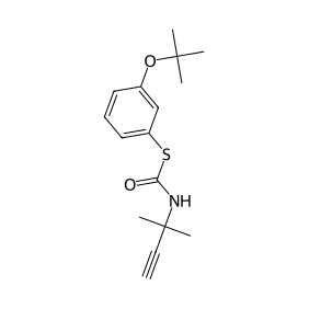 C#CC(C)(C)NC(=O)Sc1cccc(OC(C)(C)C)c1